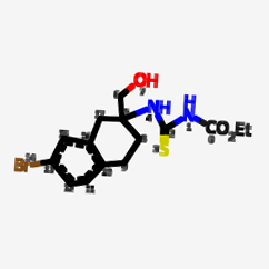 CCOC(=O)NC(=S)NC1(CO)CCc2ccc(Br)cc2C1